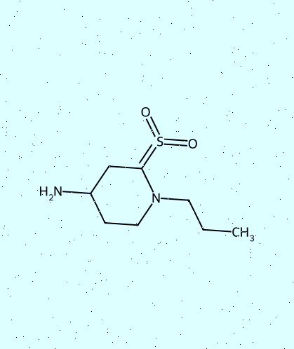 CCCN1CCC(N)CC1=S(=O)=O